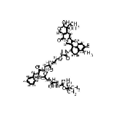 CC[C@]1(O)c2cc3n(c(=O)c2COC1O)Cc1c-3nc2cc(F)c(C)c3c2c1[C@@H](NC(=O)COCCNC(=O)CNC(=O)[C@H](Cc1ccccc1)NC(=O)CNC(=O)CNC(=O)OC(C)(C)C)CC3